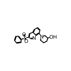 O=S(=O)(c1ccccc1)c1cnc2c(N3CCCC(O)C3)cccc2c1